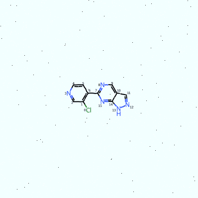 Clc1cnccc1-c1ncc2cn[nH]c2n1